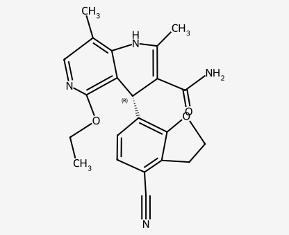 CCOc1ncc(C)c2c1[C@@H](c1ccc(C#N)c3c1OCC3)C(C(N)=O)=C(C)N2